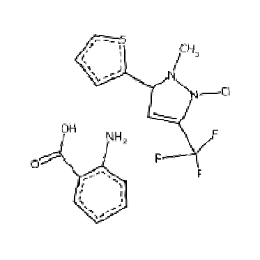 CN1C(c2cccs2)C=C(C(F)(F)F)N1Cl.Nc1ccccc1C(=O)O